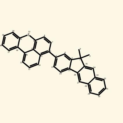 CC1(C)c2cc(-c3ccc4c5c(cccc35)-c3ccccc3S4)ccc2-c2cc3ccccc3cc21